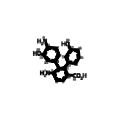 Nc1ccc(-c2c(N)ccc(C(=O)O)c2-c2cccc(O)c2)cc1O